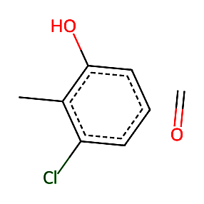 C=O.Cc1c(O)cccc1Cl